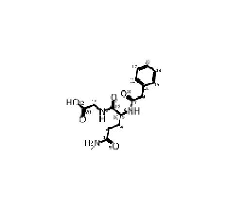 NC(=O)CC[C@H](NC(=O)Cc1ccccc1)C(=O)NCC(=O)O